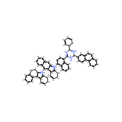 C1=CCC(C2N=C(c3ccc(-n4c5c(c6c(-n7c8c(c9c7CCc7ccccc7-9)C=CCC8)c7ccccc7cc64)C=CCC5)c4ccccc34)NC(c3ccc4c(ccc5ccccc54)c3)N2)C=C1